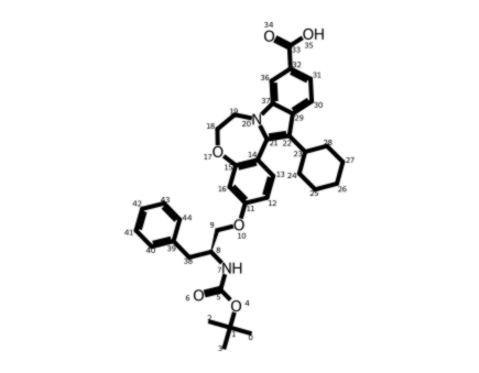 CC(C)(C)OC(=O)N[C@H](COc1ccc2c(c1)OCCn1c-2c(C2CCCCC2)c2ccc(C(=O)O)cc21)Cc1ccccc1